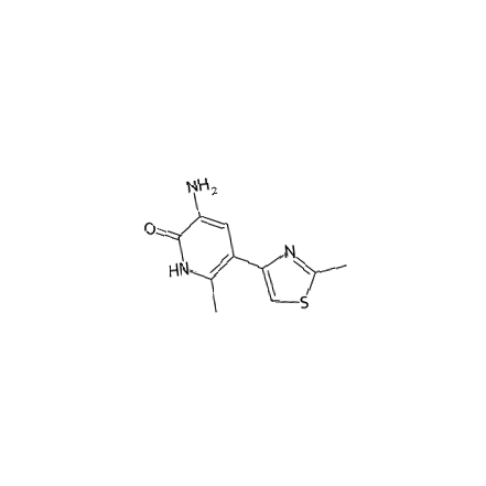 Cc1nc(-c2cc(N)c(=O)[nH]c2C)cs1